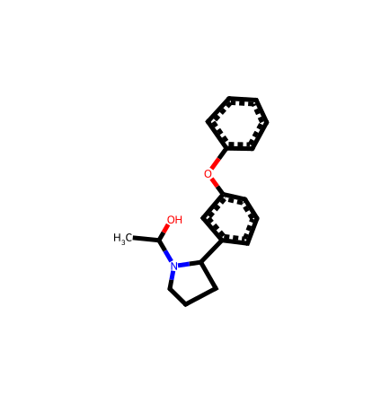 CC(O)N1CCCC1c1cccc(Oc2ccccc2)c1